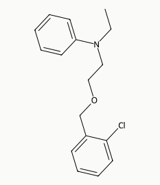 CCN(CCOCc1ccccc1Cl)c1ccccc1